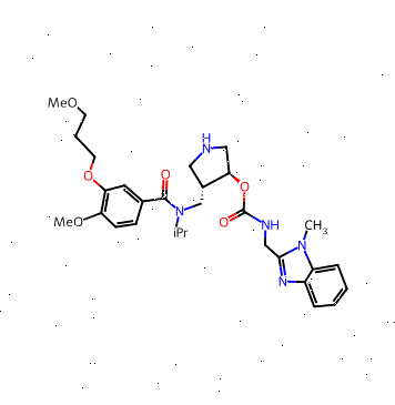 COCCCOc1cc(C(=O)N(C[C@@H]2CNC[C@H]2OC(=O)NCc2nc3ccccc3n2C)C(C)C)ccc1OC